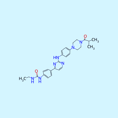 CCNC(=O)Nc1ccc(-c2ccnc(Nc3ccc(N4CCN(C(=O)C(C)C)CC4)cc3)n2)cc1